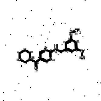 CCOc1cc(CNc2ncc(C(=O)N3CCCOC3)cn2)cc(OC(F)(F)F)c1